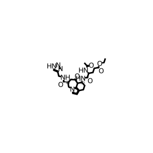 CCOC(=O)CCC(NC(C)=O)C(=O)N[C@H]1CCc2ccn3c2C1C(=O)C[C@H](C(=O)NCc1c[nH]nn1)C3